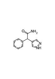 NC(=O)C(c1ccccc1)c1cn[nH]c1